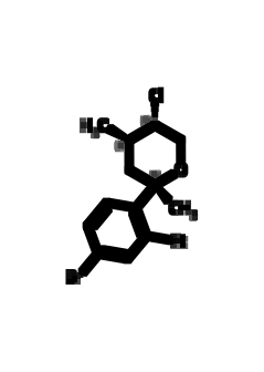 CCc1cc(Br)ccc1[C@]1(C)C[C@@H](C)[C@H](Cl)CO1